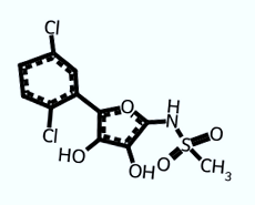 CS(=O)(=O)Nc1oc(-c2cc(Cl)ccc2Cl)c(O)c1O